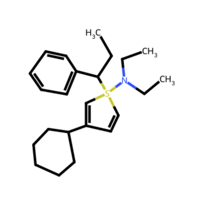 CCC(c1ccccc1)S1(N(CC)CC)C=CC(C2CCCCC2)=C1